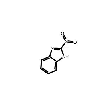 O=[SH](=O)c1nc2ccccc2[nH]1